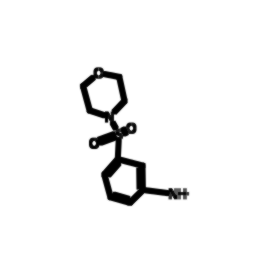 [NH]c1cccc(S(=O)(=O)N2CCOCC2)c1